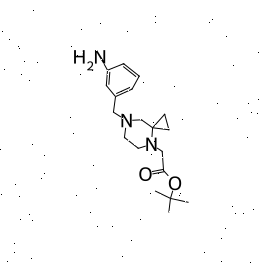 CC(C)(C)OC(=O)CN1CCN(Cc2cccc(N)c2)CC12CC2